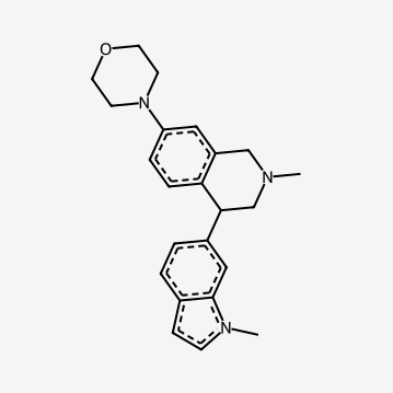 CN1Cc2cc(N3CCOCC3)ccc2C(c2ccc3ccn(C)c3c2)C1